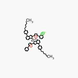 CCCCCCc1ccc(-c2cccc3c2C=C(c2ccc(-c4ccccc4)o2)[CH]3[Zr+2][CH]2C(c3ccc(-c4ccccc4)o3)=Cc3c(-c4ccc(CCCCCC)cc4)cccc32)cc1.[Cl-].[Cl-]